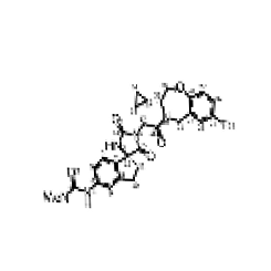 CNC(=O)Nc1ccc2c(c1)CC[C@@]21NC(=O)N(CC(=O)N2Cc3cc(F)ccc3OC[C@H]2C2CC2)C1=O